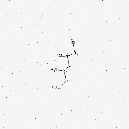 CCOC(=O)C[C@H](N)CC(=O)O